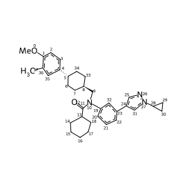 COc1ccc([C@H]2CC[C@H](CN(C(=O)C3CCCCC3)c3cccc(-c4cnn(C5CC5)c4)c3)CC2)cc1C